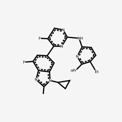 CCCc1nc(Nc2ncc(F)c(-c3cc(F)c4nc(C)n(C5CC5)c4c3)n2)ccc1CC